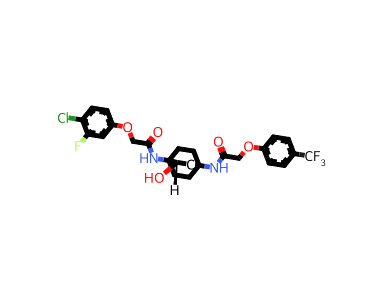 O=C(COc1ccc(C(F)(F)F)cc1)NC12CCC(NC(=O)COc3ccc(Cl)c(F)c3)(CC1)[C@@H](O)C2